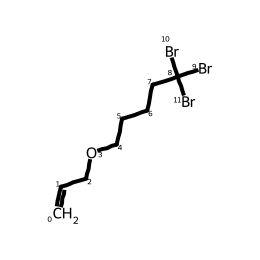 C=CCOCCCCC(Br)(Br)Br